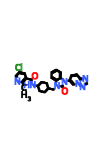 Cc1ncc(Cl)cc1C(=O)NC1CCC(Cn2c(=O)n(-c3ccc4ncnn4c3)c3ccccc32)CC1